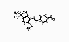 COc1ccc(C(C)(C)C)cc1/C=C/c1ccc(CCl)cc1